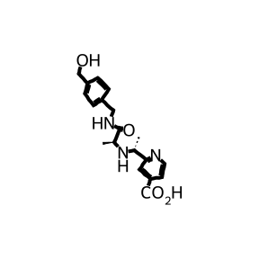 C[C@H](N[C@H](C)c1cc(C(=O)O)ccn1)C(=O)NCc1ccc(CO)cc1